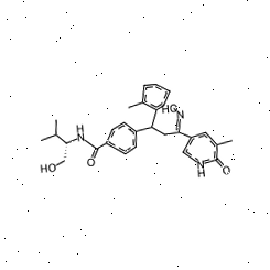 Cc1ccccc1C(C/C(=N\O)c1c[nH]c(=O)c(C)c1)c1ccc(C(=O)N[C@H](CO)C(C)C)cc1